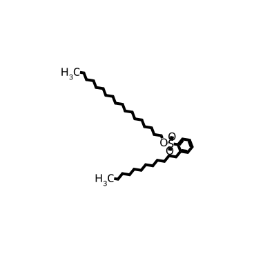 CCCCCCCCCCCCCCCCCCOS(=O)(=O)c1ccccc1CCCCCCCCCCCC